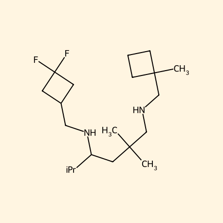 CC(C)C(CC(C)(C)CNCC1(C)CCC1)NCC1CC(F)(F)C1